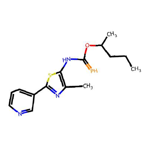 CCCC(C)OC(=P)Nc1sc(-c2cccnc2)nc1C